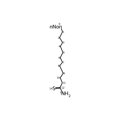 CCCCCCCCCCCCCCCCCCCCC(N)=S